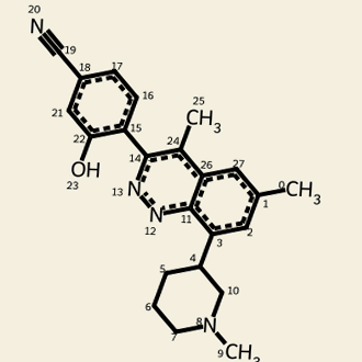 Cc1cc(C2CCCN(C)C2)c2nnc(-c3ccc(C#N)cc3O)c(C)c2c1